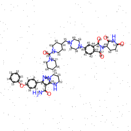 NC(=O)c1c(-c2ccc(Oc3ccccc3)cc2)nn2c1NCC[C@H]2C1CCN(C(=O)N2CCC(CN3CCN(c4ccc5c(c4)C(=O)N(C4CCC(=O)NC4=O)C5=O)CC3)CC2)CC1